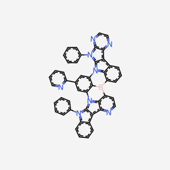 c1ccc(-n2c3ccccc3c3c4nccc5c4n(c32)-c2cc(-c3ccccn3)cc3c2B5c2cccc4c5c6nccnc6n(-c6ccccc6)c5n-3c24)cc1